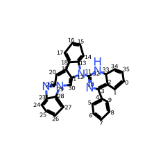 C1=CC2=C(c3ccccc3)N=C(n3c4ccccc4c4cc5nc6ccccc6n5cc43)NC2C=C1